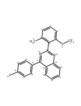 Cc1cccc(SC(F)(F)F)c1-c1nc(-c2ccc(F)cc2)c2ccccc2n1